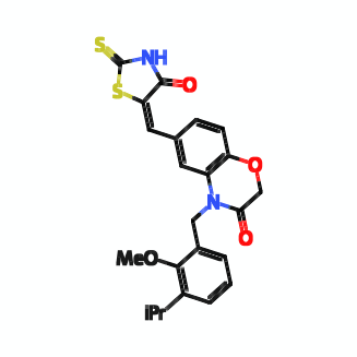 COc1c(CN2C(=O)COc3ccc(/C=C4/SC(=S)NC4=O)cc32)cccc1C(C)C